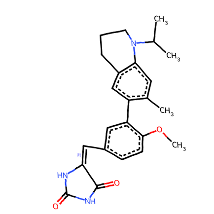 COc1ccc(/C=C2/NC(=O)NC2=O)cc1-c1cc2c(cc1C)N(C(C)C)CCC2